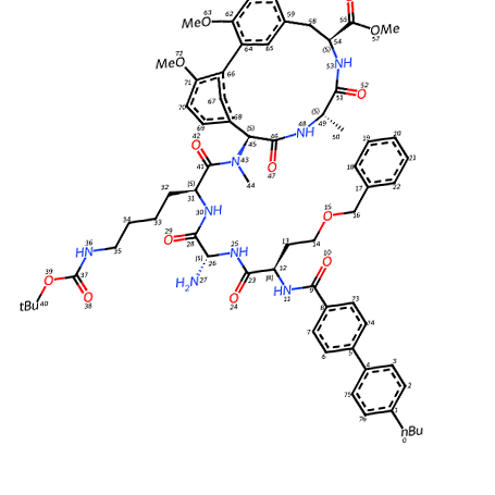 CCCCc1ccc(-c2ccc(C(=O)N[C@H](CCOCc3ccccc3)C(=O)N[C@H](N)C(=O)N[C@@H](CCCCNC(=O)OC(C)(C)C)C(=O)N(C)[C@@H]3C(=O)N[C@@H](C)C(=O)N[C@H](C(=O)OC)Cc4ccc(OC)c(c4)-c4cc3ccc4OC)cc2)cc1